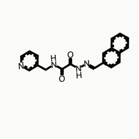 O=C(NCc1cccnc1)C(=O)NN=Cc1ccc2ccccc2c1